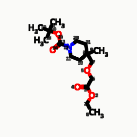 CCOC(=O)COCC1(C)CCN(C(=O)OC(C)(C)C)CC1